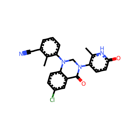 Cc1[nH]c(=O)ccc1N1CN(c2cccc(C#N)c2C)c2ccc(Cl)cc2C1=O